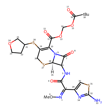 CO/N=C(\C(=O)NC1C(=O)N2C(C(=O)OCOC(=O)C(C)(C)C)=C(SC3CCOC3)CS[C@H]12)c1csc(N)n1